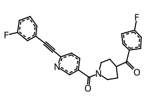 O=C(c1ccc(F)cc1)C1CCN(C(=O)c2ccc(C#Cc3cccc(F)c3)nc2)CC1